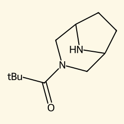 CC(C)(C)C(=O)N1CC2CCC(C1)N2